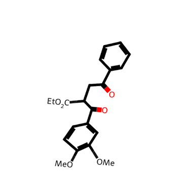 CCOC(=O)C(CC(=O)c1ccccc1)C(=O)c1ccc(OC)c(OC)c1